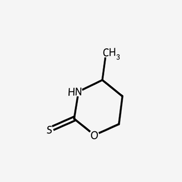 CC1CCOC(=S)N1